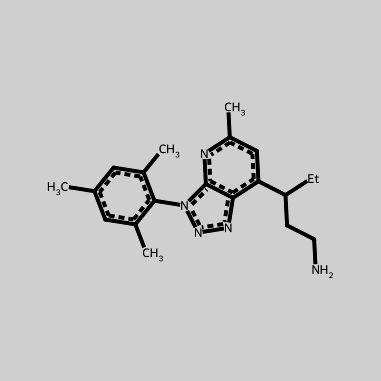 CCC(CCN)c1cc(C)nc2c1nnn2-c1c(C)cc(C)cc1C